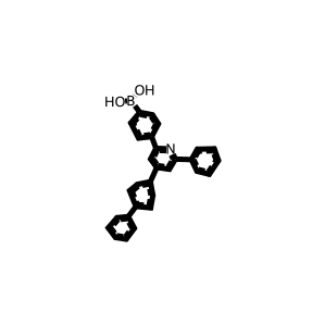 OB(O)c1ccc(-c2cc(-c3ccc(-c4ccccc4)cc3)cc(-c3ccccc3)n2)cc1